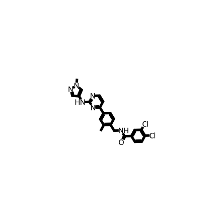 Cc1cc(-c2ccnc(Nc3cnn(C)c3)n2)ccc1CNC(=O)c1ccc(Cl)c(Cl)c1